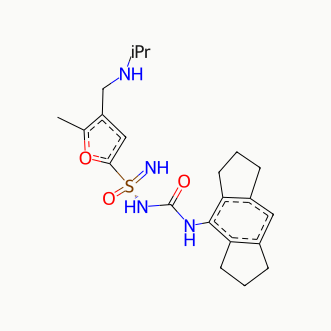 Cc1oc([S@@](=N)(=O)NC(=O)Nc2c3c(cc4c2CCC4)CCC3)cc1CNC(C)C